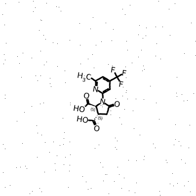 Cc1cc(C(F)(F)F)cc(N2C(=O)C[C@H](C(=O)O)[C@H]2C(=O)O)n1